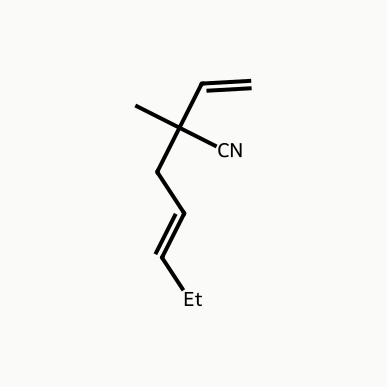 C=CC(C)(C#N)C/C=C/CC